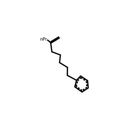 [CH]=C(CCC)CCCCCc1ccccc1